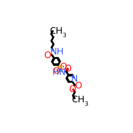 CCCCCCNC(=O)c1ccc(S(=O)(=O)NC(=O)c2ccc(C(=O)OCCC)nc2)cc1